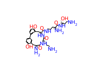 NCCC[C@@H]1NC(=O)[C@@H](N)Cc2cc(ccc2O)-c2ccc(O)c(c2)C[C@@H](C(=O)NCCC[C@H](N)C(=O)N[C@H](CO)CCN)NC1=O